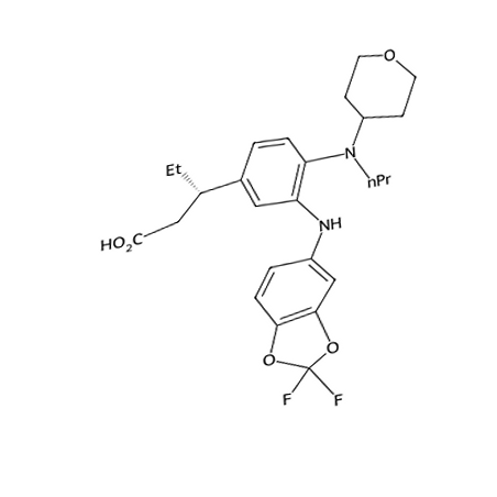 CCCN(c1ccc([C@@H](CC)CC(=O)O)cc1Nc1ccc2c(c1)OC(F)(F)O2)C1CCOCC1